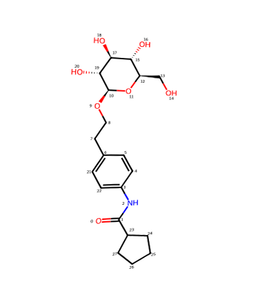 O=C(Nc1ccc(CCO[C@@H]2O[C@H](CO)[C@@H](O)[C@H](O)[C@H]2O)cc1)C1CCCC1